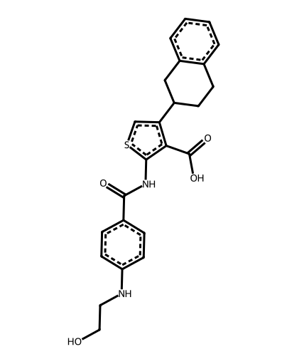 O=C(Nc1scc(C2CCc3ccccc3C2)c1C(=O)O)c1ccc(NCCO)cc1